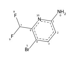 Nc1ccc(Br)c(C(F)F)n1